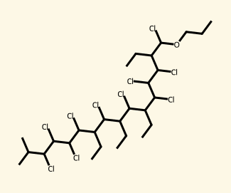 CCCOC(Cl)C(CC)C(Cl)C(Cl)C(Cl)C(CC)C(Cl)C(CC)C(Cl)C(CC)C(Cl)C(Cl)C(Cl)C(Cl)C(C)C